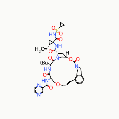 C=C[C@@H]1C[C@]1(NC(=O)[C@@H]1C[C@@H]2CN1C(=O)[C@H](C(C)(C)C)NC(=O)[C@H](NC(=O)c1cnccn1)COC/C=C/c1cccc3c1CN(C3)C(=O)O2)C(=O)NS(=O)(=O)C1CC1